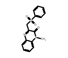 Cn1c(=O)c(CS(=O)(=O)c2ccccc2)nc2ccccc21